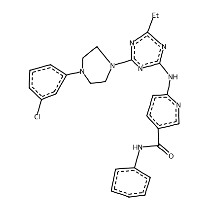 CCc1nc(Nc2ccc(C(=O)Nc3ccccc3)cn2)nc(N2CCN(c3cccc(Cl)c3)CC2)n1